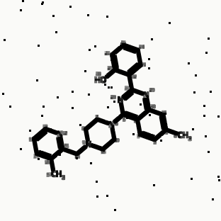 Cc1ccc2c(N3CCN(Cc4ncccc4C)CC3)nc(-c3ccccc3O)nc2c1